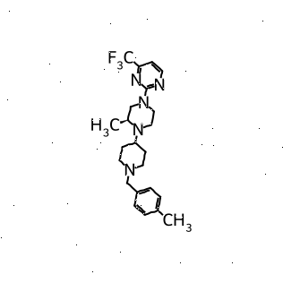 Cc1ccc(CN2CCC(N3CCN(c4nccc(C(F)(F)F)n4)C[C@@H]3C)CC2)cc1